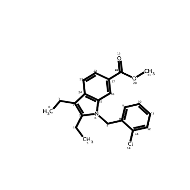 CCc1c(CC)n(Cc2ccccc2Cl)c2cc(C(=O)OC)ccc12